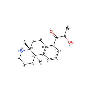 CCC(O)C(=O)c1cccc2c1CC[C@H]1NCCC[C@H]21